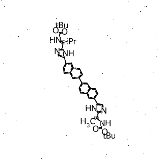 CC(C)[C@H](NC(=O)OC(C)(C)C)c1ncc(-c2ccc3cc(-c4ccc5cc(-c6cnc([C@H](C)NC(=O)OC(C)(C)C)[nH]6)ccc5c4)ccc3c2)[nH]1